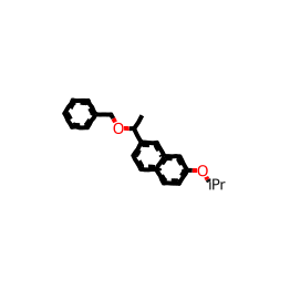 CC(C)Oc1ccc2ccc(C(C)OCc3ccccc3)cc2c1